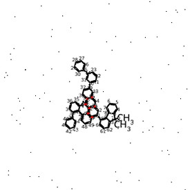 CC1(C)c2ccccc2-c2c(-c3ccc(N(c4ccc(-c5cccc(-c6ccccc6)c5)cc4)c4cccc(-c5ccccc5)c4-c4ccccc4-c4ccccc4)cc3)cccc21